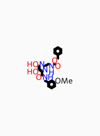 COc1cccc(CNC(=O)c2nc(CNC(=O)OCc3ccccc3)nc(O)c2O)c1